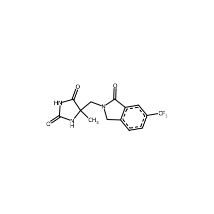 CC1(CN2Cc3ccc(C(F)(F)F)cc3C2=O)NC(=O)NC1=O